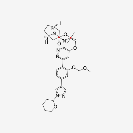 COCOc1cc(-c2cnn(C3CCCCO3)c2)ccc1-c1cc2c(nn1)N(C1C[C@H]3CC[C@@H](C1)N3C(=O)OC(C)(C)C)CCO2